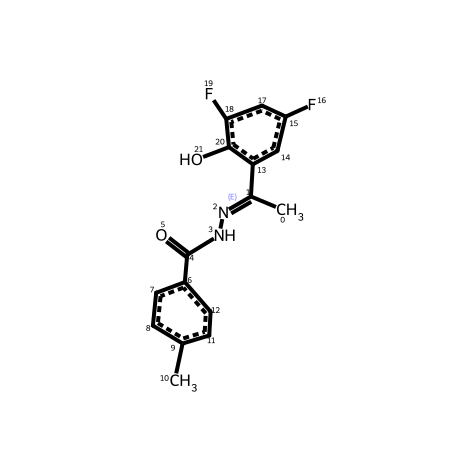 C/C(=N\NC(=O)c1ccc(C)cc1)c1cc(F)cc(F)c1O